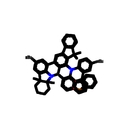 CCCCc1ccc(N2c3c4c(cc5c3C(C)(C)c3ccccc3-5)-c3cc(CCCC)cc5c3N(B4c3ccc4sc6ccccc6c4c32)C2(C)CCCCC52C)c(-c2ccccc2)c1